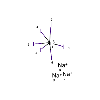 [I][Ir-3]([I])([I])([I])([I])[I].[Na+].[Na+].[Na+]